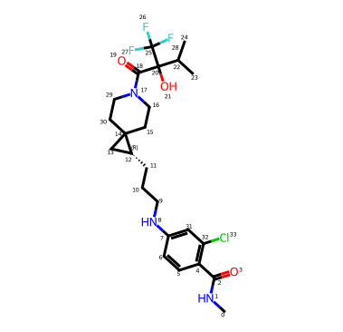 CNC(=O)c1ccc(NCCC[C@@H]2CC23CCN(C(=O)C(O)(C(C)C)C(F)(F)F)CC3)cc1Cl